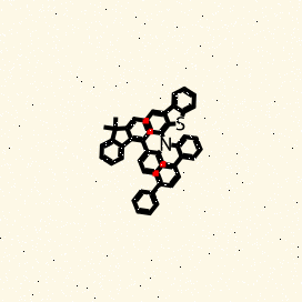 CC1(C)c2ccccc2-c2c(-c3ccccc3N(c3ccccc3-c3ccc(-c4ccccc4)cc3)c3cccc4c3sc3ccccc34)cccc21